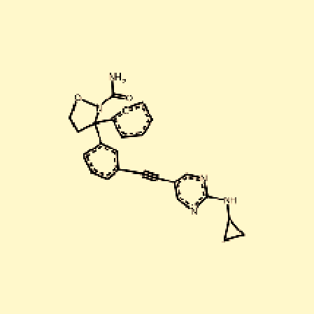 NC(=O)N1OCCC1(c1ccccc1)c1cccc(C#Cc2cnc(NC3CC3)nc2)c1